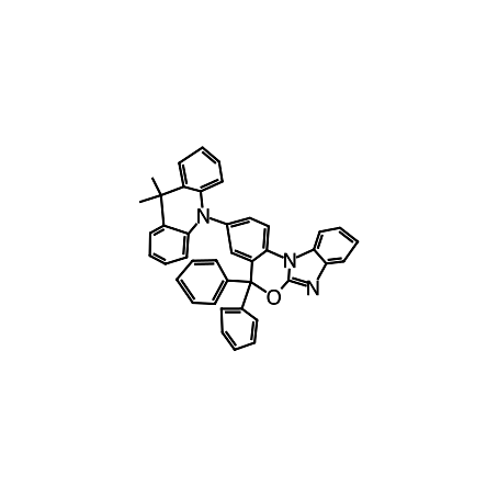 CC1(C)c2ccccc2N(c2ccc3c(c2)C(c2ccccc2)(c2ccccc2)Oc2nc4ccccc4n2-3)c2ccccc21